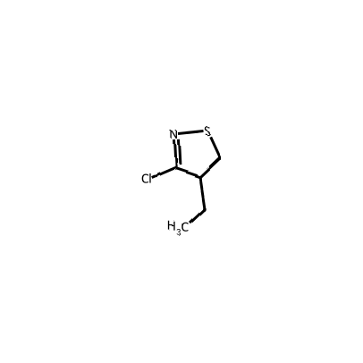 CCC1CSN=C1Cl